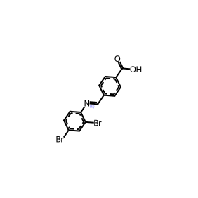 O=C(O)c1ccc(/C=N/c2ccc(Br)cc2Br)cc1